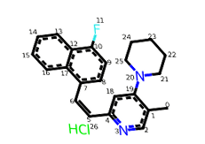 Cc1cnc(/C=C\c2ccc(F)c3ccccc23)cc1N1CCCCC1.Cl